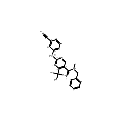 CN(Cc1ccccc1)C(=O)c1cnc(Nc2cccc(C#N)c2)nc1C(F)(F)F